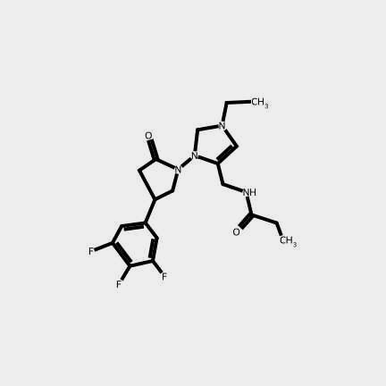 CCC(=O)NCC1=CN(CC)CN1N1CC(c2cc(F)c(F)c(F)c2)CC1=O